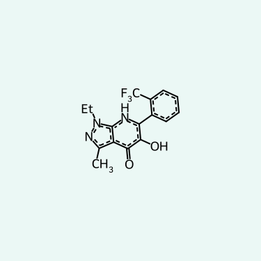 CCn1nc(C)c2c(=O)c(O)c(-c3ccccc3C(F)(F)F)[nH]c21